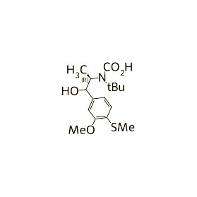 COc1cc(C(O)[C@@H](C)N(C(=O)O)C(C)(C)C)ccc1SC